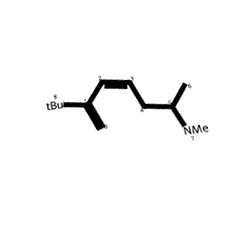 C=C(/C=C\CC(C)NC)C(C)(C)C